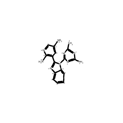 Cc1nc(N)nc(-n2c(-c3cc(N)cnc3N)nc3ccccc32)n1